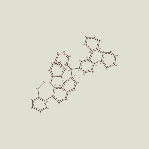 c1ccc(C2CCc3ccccc3-c3ccc4ccc(N(c5ccccc5)c5ccc6c7ccccc7c7ccccc7c6c5)cc4c32)cc1